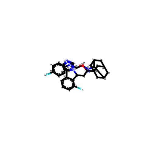 OC(CC1c2c(F)cccc2-c2cncn21)C12CC3CC(C1)C(NCCNc1ccc(F)cc1)C(C3)C2